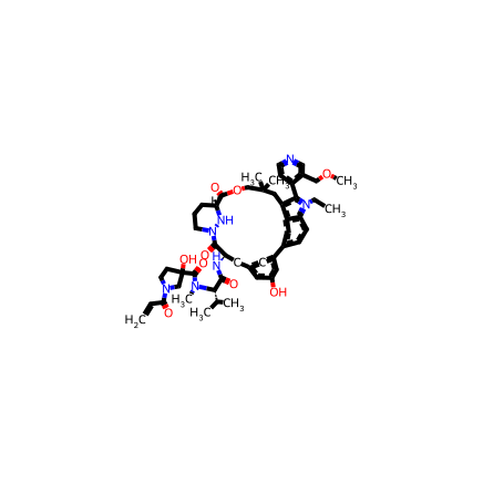 C=CC(=O)N1CCC(O)(C(=O)N(C)[C@H](C(=O)N[C@H]2Cc3cc(O)cc(c3)-c3ccc4c(c3)c(c(-c3ccncc3COC)n4CC)CC(C)(C)COC(=O)[C@@H]3CCCN(N3)C2=O)C(C)C)C1